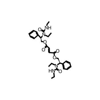 CCNC(=O)N(CC)[C@@H](COC(=O)/C=C/C(=O)OC[C@@H](c1ccccc1)N(CC)C(=O)NCC)c1ccccc1